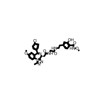 CONC(=O)c1ccc(CCNC(=O)CNC(=O)C[C@@H]2N=C(c3ccc(Cl)cc3)c3cc(OC)ccc3-n3c(C)nnc32)cc1O